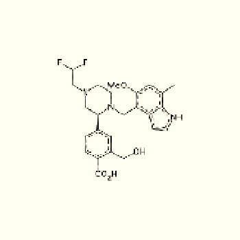 COc1cc(C)c2[nH]ccc2c1CN1CCN(CC(F)F)C[C@@H]1c1ccc(C(=O)O)c(CO)c1